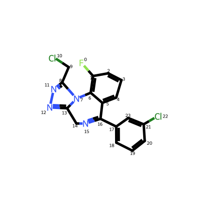 Fc1cccc2c1-n1c(CCl)nnc1CN=C2c1cccc(Cl)c1